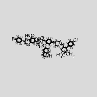 CC1(C)CCC(CN2CCN(c3ccc(C(=O)NS(=O)(=O)c4cc5c(c([N+](=O)[O-])c4)N[C@H](c4ccc(F)cc4)CO5)c(Oc4cnc5[nH]ccc5c4)c3)CC2)=C(c2ccc(Cl)cc2)C1